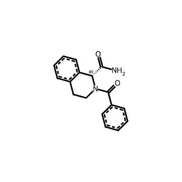 NC(=O)[C@H]1c2ccccc2CCN1C(=O)c1ccccc1